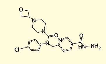 NNC(=O)c1ccc(CN(C(=O)N2CCN(C3COC3)CC2)c2ccc(Cl)cc2)nc1